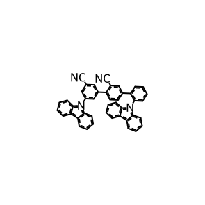 N#Cc1cc(-c2ccc(-c3ccccc3-n3c4ccccc4c4ccccc43)cc2C#N)cc(-n2c3ccccc3c3ccccc32)c1